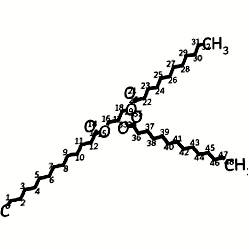 CCCCCCCCCCCCCC(=O)OCC(COC(=O)CCCCCCCCCCC)OC(=O)CCCCCCCCCCCCC